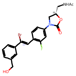 CC(=O)NC[C@H]1CN(c2ccc(/C=C(\Br)c3cccc(CO)c3)c(F)c2)C(=O)O1